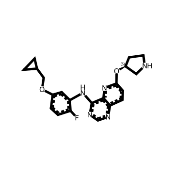 Fc1ccc(OCC2CC2)cc1Nc1ncnc2ccc(O[C@H]3CCNC3)nc12